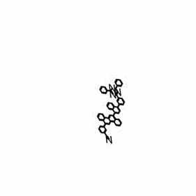 N#Cc1cccc(-c2cc3c4ccccc4c(-c4ccc(-c5cccc(-c6nc(-c7ccccc7)nc(-c7ccccc7)n6)c5)c5ccccc45)cc3c3ccccc23)c1